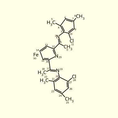 CC(=Nc1c(C)cc(C)cc1Cl)c1cccc(C(C)=Nc2c(C)cc(C)cc2Cl)n1.[Fe]